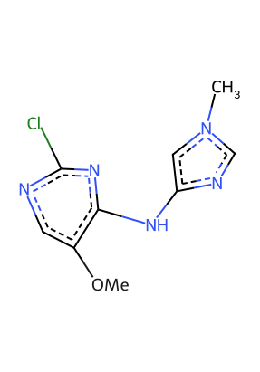 COc1cnc(Cl)nc1Nc1cn(C)cn1